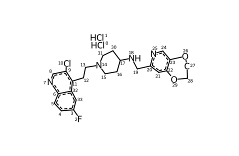 Cl.Cl.Fc1ccc2ncc(Cl)c(CCN3CCC(NCc4cc5c(cn4)OCCO5)CC3)c2c1